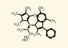 CC1=C(C)C(C)[C]([Zr]([CH]2C(C)=C(c3ccccc3)c3c(C)cc(C)cc32)=[Si](C)C)=C1C.Cl.Cl